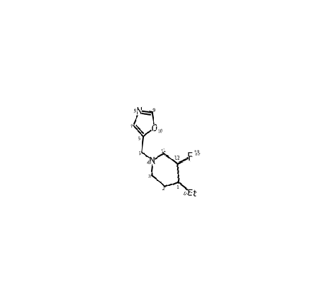 CCC1CCN(Cc2cnco2)CC1F